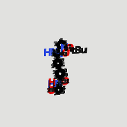 CC(C)(C)OC(=O)N1CCC[C@H]1c1nc(-c2ccc(-c3ccc(C(=O)N[C@@H]4CCC[C@H]4O)cc3)cc2)c[nH]1